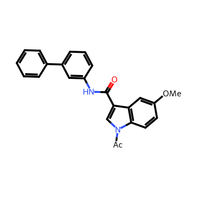 COc1ccc2c(c1)c(C(=O)Nc1cccc(-c3ccccc3)c1)cn2C(C)=O